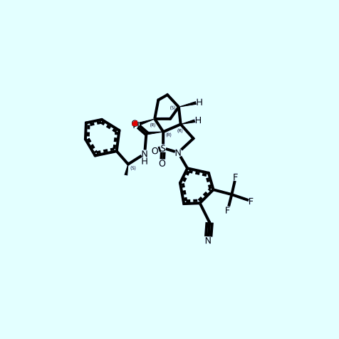 C[C@H](NC(=O)[C@@]12[C@@H]3CC[C@@H](C3)[C@@H]1CN(c1ccc(C#N)c(C(F)(F)F)c1)S2(=O)=O)c1ccccc1